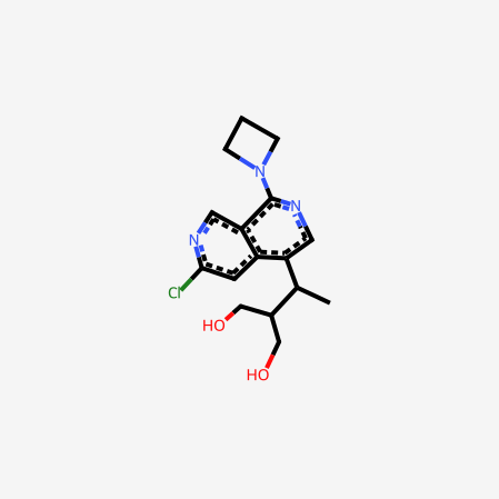 CC(c1cnc(N2CCC2)c2cnc(Cl)cc12)C(CO)CO